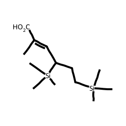 CC(=CC(CC[Si](C)(C)C)[Si](C)(C)C)C(=O)O